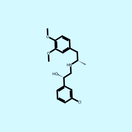 COc1ccc(C[C@H](C)NC[C@@H](O)c2cccc(Cl)c2)cc1OC